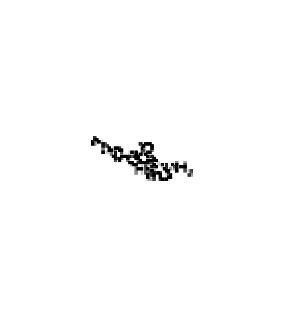 C[C@@H]1CC[C@H](C)N1c1nc(-c2ccc(OCC3CC3)nc2)ccc1C(=O)NS(=O)(=O)c1cccc(N)n1